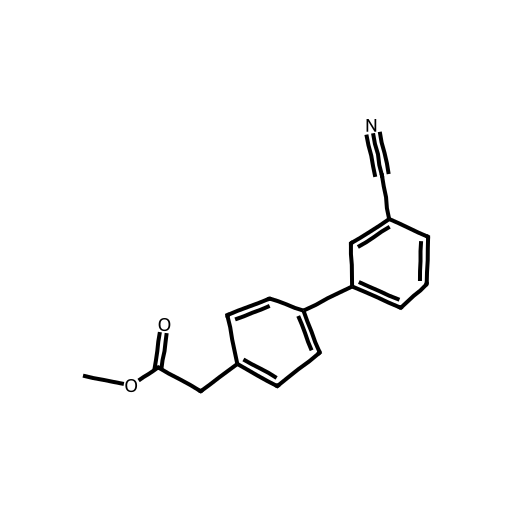 COC(=O)Cc1ccc(-c2cccc(C#N)c2)cc1